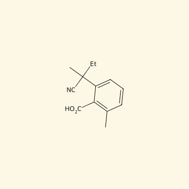 CCC(C)(C#N)c1cccc(C)c1C(=O)O